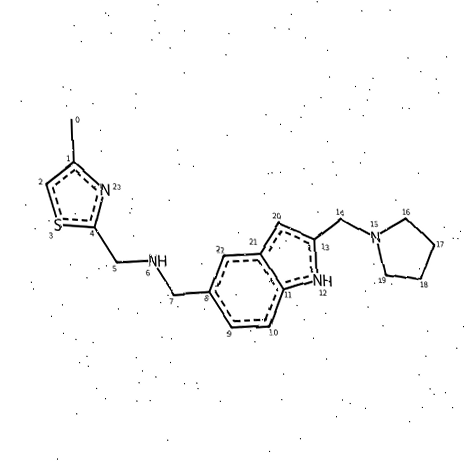 Cc1csc(CNCc2ccc3[nH]c(CN4CCCC4)cc3c2)n1